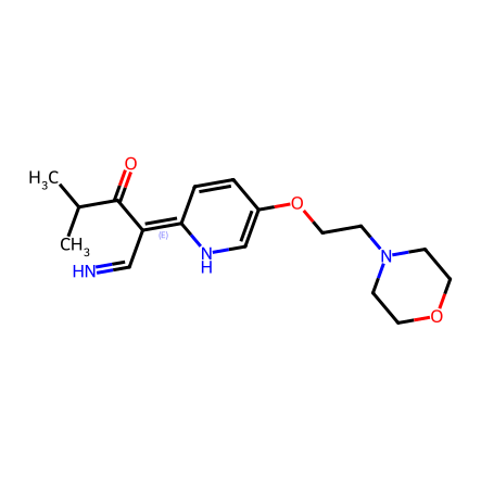 CC(C)C(=O)/C(C=N)=C1\C=CC(OCCN2CCOCC2)=CN1